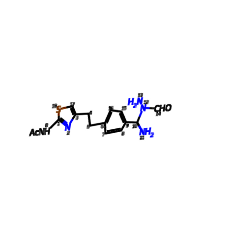 CC(=O)Nc1nc(CCc2ccc(C(N)N(N)C=O)cc2)cs1